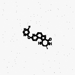 C[C@@H]1CNc2c(sc3ccc4nc(Oc5cc(F)ncn5)ccc4c23)C(=O)N1